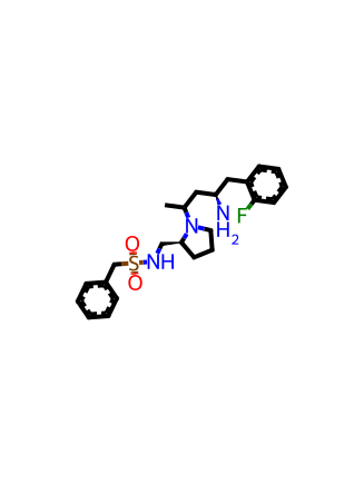 CC(C[C@H](N)Cc1ccccc1F)N1CCC[C@H]1CNS(=O)(=O)Cc1ccccc1